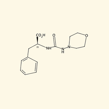 O=C(N[C@@H](Cc1ccccc1)C(=O)O)NN1CCOCC1